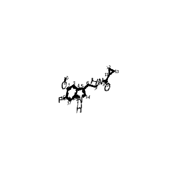 COc1cc2c(CCNC(=O)C3CC3)c[nH]c2cc1F